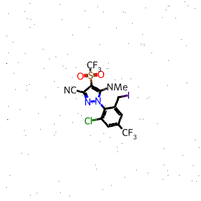 CNc1c(S(=O)(=O)C(F)(F)F)c(C#N)nn1-c1c(Cl)cc(C(F)(F)F)cc1CI